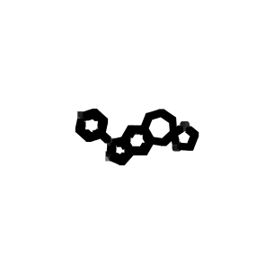 c1cc(-n2ncc3cc4c(cc32)CCCC2(C4)OCCO2)ccn1